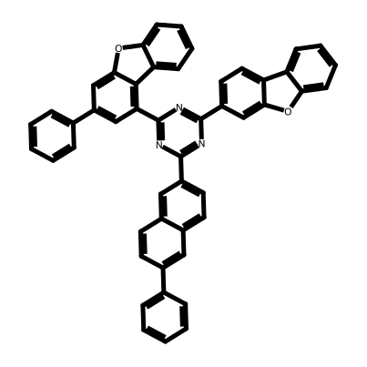 c1ccc(-c2ccc3cc(-c4nc(-c5ccc6c(c5)oc5ccccc56)nc(-c5cc(-c6ccccc6)cc6oc7ccccc7c56)n4)ccc3c2)cc1